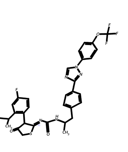 CC(Cc1ccc(-c2ncn(-c3ccc(OC(F)(F)F)cc3)n2)cc1)NC(=O)/N=C1\SCC(=O)C1c1ccc(F)cc1C(C)C